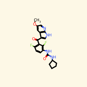 COc1cnc2[nH]cc(C(=O)c3c(F)ccc(NC(=O)NC4CCCC4)c3F)c2c1